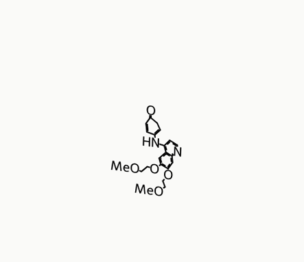 COCCOc1cc2nccc(NC3=CCC(=O)C=C3)c2cc1OCCOC